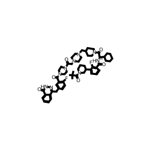 CC(C)(C)C(=O)N1CCCC(c2cccc(C(=O)N[C@@H](C(=O)N3CCC(CN4CCN(CC(=O)N5CCN(C(=O)c6cc(Cc7n[nH]c(=O)c8ccccc78)ccc6F)CC5)CC4)CC3)C3CCCCC3)c2F)C1